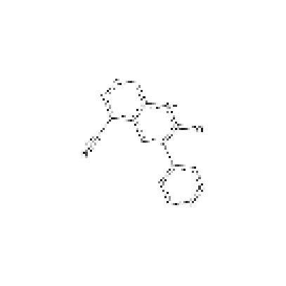 N#Cc1nccc2[nH]c(=O)c(-c3ccccc3)cc12